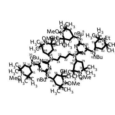 CCCCN(c1nc(N(CCCC)C2CC(C)(C)N(OC)C(C)(C)C2)nc(N(CCCCN(c2nc(N(CCCC)C3CC(C)(C)N(OC)C(C)(C)C3)nc(N(CCCC)C3CC(C)(C)N(OC)C(C)(C)C3)n2)C2CC(C)(C)N(OC)C(C)(C)C2)C2CC(C)(C)N(OC)C(C)(C)C2)n1)C1CC(C)(C)N(CC)C(C)(C)C1